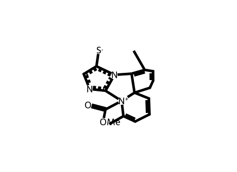 COC(=O)[N+]12C(C)=CC=CC13CC=CC(C)=C3n1c([S])cnc12